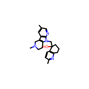 Cc1cnc2c(c1)c1c(n2CC2(O)CCCc3nc(C)ccc32)CCN(C)C1